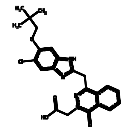 CC(C)(C)COc1cc2[nH]c(Cc3nn(CC(=O)O)c(=O)c4ccccc34)nc2cc1Cl